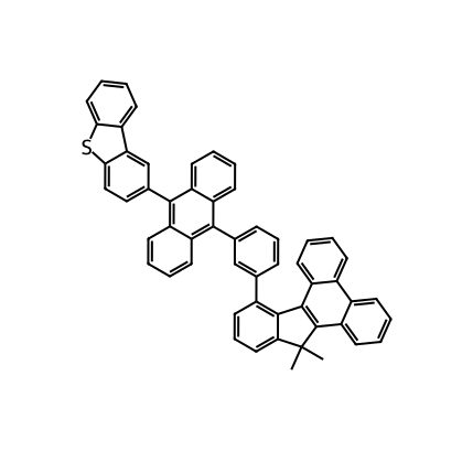 CC1(C)c2cccc(-c3cccc(-c4c5ccccc5c(-c5ccc6sc7ccccc7c6c5)c5ccccc45)c3)c2-c2c1c1ccccc1c1ccccc21